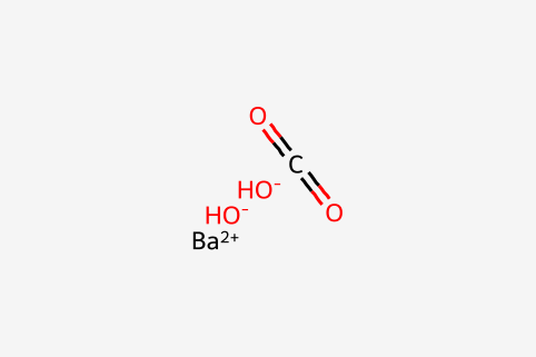 O=C=O.[Ba+2].[OH-].[OH-]